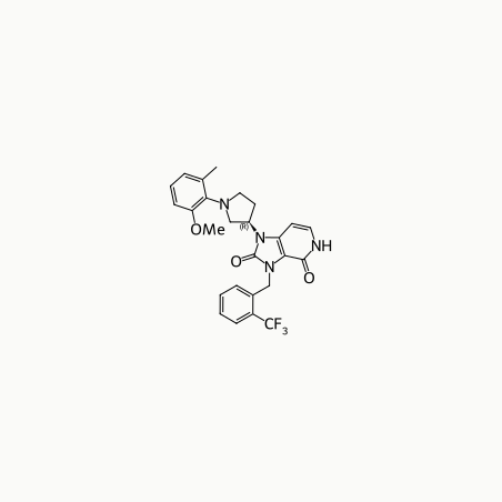 COc1cccc(C)c1N1CC[C@@H](n2c(=O)n(Cc3ccccc3C(F)(F)F)c3c(=O)[nH]ccc32)C1